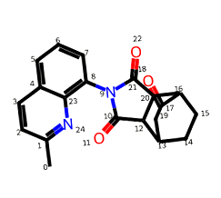 Cc1ccc2cccc(N3C(=O)C4C5CCC(C(=O)C5)C4C3=O)c2n1